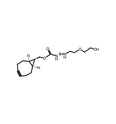 O=C(NSNCCOCCO)OC[C@@H]1[C@@H]2CCC#CCC[C@@H]21